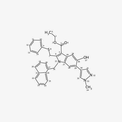 CCOC(=O)c1c(CSc2ccccc2)n(Cc2cccc3ccccc23)c2cc(-c3cnn(C)c3)c(O)cc12